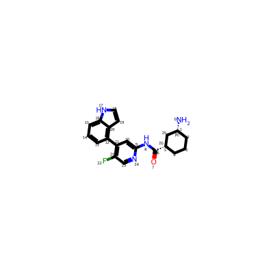 N[C@@H]1CCC[C@H](C(=O)Nc2cc(-c3cccc4[nH]ccc34)c(F)cn2)C1